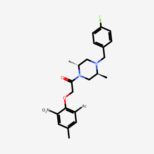 CC(=O)c1cc(C)cc([N+](=O)[O-])c1OCC(=O)N1C[C@H](C)N(Cc2ccc(F)cc2)C[C@H]1C